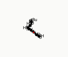 Cc1cc(-c2n[nH]c3ncc(-c4ccc(N5CC6CC5CN6CCc5ccc(C6CCC(=O)NC6=O)c(C)n5)cn4)cc23)ccc1CNC(=O)c1noc(C(C)(C)C)n1